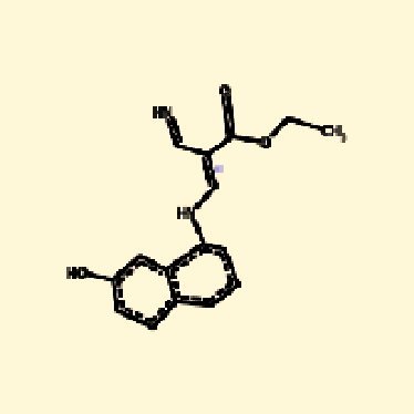 CCOC(=O)/C(C=N)=C/Nc1cccc2ccc(O)cc12